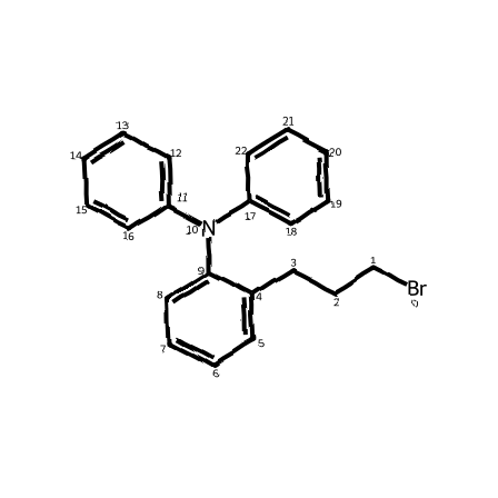 BrCCCc1ccccc1N(c1ccccc1)c1ccccc1